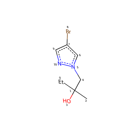 CCC(C)(O)Cn1cc(Br)cn1